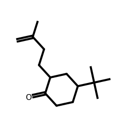 C=C(C)CCC1CC(C(C)(C)C)CCC1=O